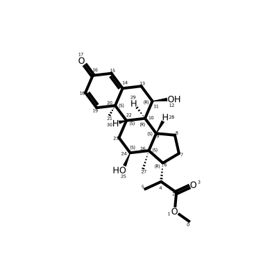 COC(=O)C(C)[C@H]1CC[C@H]2[C@@H]3[C@H](O)CC4=CC(=O)C=C[C@]4(C)[C@H]3C[C@H](O)[C@]12C